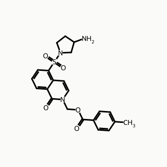 Cc1ccc(C(=O)OCn2ccc3c(S(=O)(=O)N4CCC(N)C4)cccc3c2=O)cc1